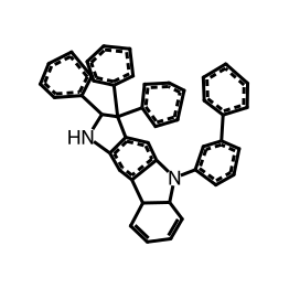 C1=CC2c3cc4c(cc3N(c3cccc(-c5ccccc5)c3)C2C=C1)C(c1ccccc1)(c1ccccc1)C(c1ccccc1)N4